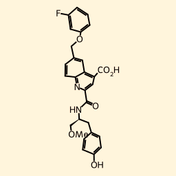 COC[C@H](Cc1ccc(O)cc1)NC(=O)c1cc(C(=O)O)c2cc(COc3cccc(F)c3)ccc2n1